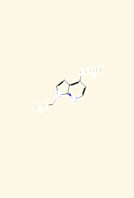 O=C(O)c1ccnc2c1ccn2CC(F)(F)F